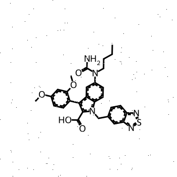 CCCCN(C(N)=O)c1ccc2c(c1)c(-c1ccc(OC)cc1OC)c(C(=O)O)n2Cc1ccc2nsnc2c1